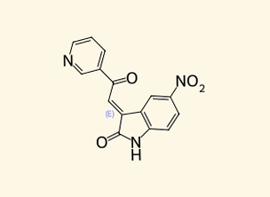 O=C1Nc2ccc([N+](=O)[O-])cc2/C1=C\C(=O)c1cccnc1